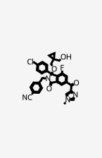 Cn1cnc(C(=O)c2cc(F)c3c(c2)C(=O)N(Cc2ccc(C#N)cc2)C3(OCC2(CO)CC2)c2ccc(Cl)cc2)c1